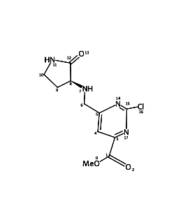 COC(=O)c1cc(CN[C@H]2CCNC2=O)nc(Cl)n1